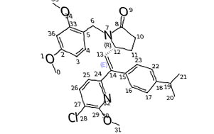 COc1ccc(CN2C(=O)CC[C@@H]2/C=C(\c2ccc(C(C)C)cc2)c2ccc(Cl)c(OC)n2)c(OC)c1